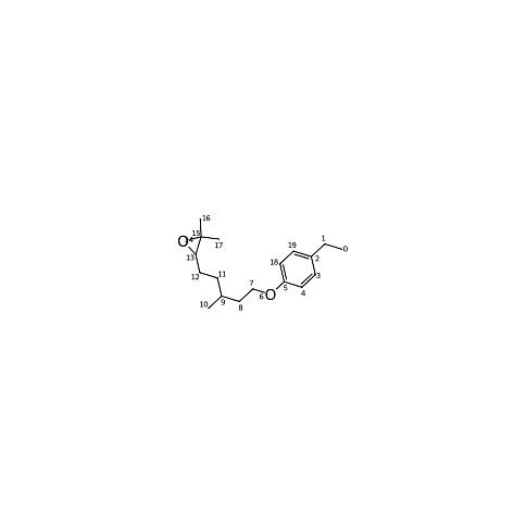 CCc1ccc(OCCC(C)CCC2OC2(C)C)cc1